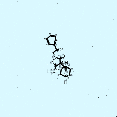 CC1=NN(CC(=O)c2ccccc2)C(=O)C1(C)[C@@H]1C[C@H]2CC[C@@H]1CC2